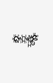 O=c1[nH]c(N2CCN(c3ccccn3)CC2)nc2ccsc12